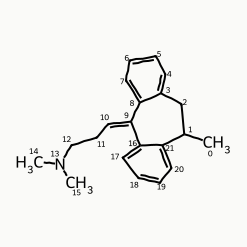 CC1Cc2ccccc2/C(=C/CCN(C)C)c2ccccc21